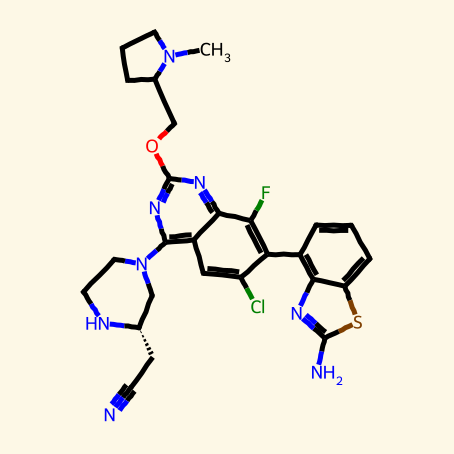 CN1CCCC1COc1nc(N2CCN[C@@H](CC#N)C2)c2cc(Cl)c(-c3cccc4sc(N)nc34)c(F)c2n1